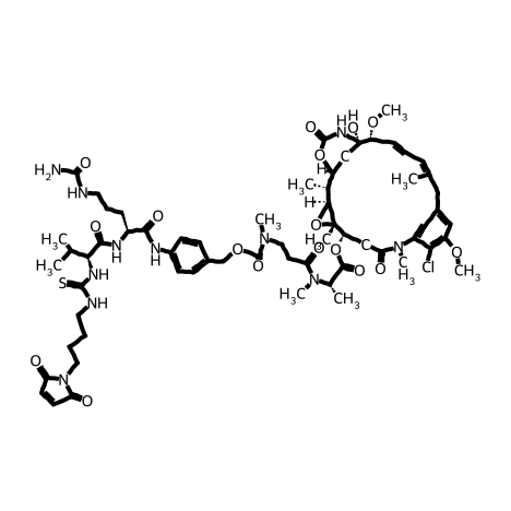 COc1cc2cc(c1Cl)N(C)C(=O)C[C@H](OC(=O)[C@H](C)N(C)C(=O)CCN(C)C(=O)OCc1ccc(NC(=O)[C@H](CCCNC(N)=O)NC(=O)[C@@H](NC(=S)NCCCCN3C(=O)C=CC3=O)C(C)C)cc1)[C@]1(C)O[C@H]1[C@H](C)[C@@H]1C[C@@](O)(NC(=O)O1)[C@H](OC)/C=C/C=C(\C)C2